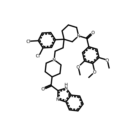 COc1cc(C(=O)N2CCCC(CCN3CCC(C(=O)c4nc5ccccc5[nH]4)CC3)(c3ccc(Cl)c(Cl)c3)C2)cc(OC)c1OC